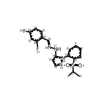 CC(C)S(=O)(=O)c1ccccc1-n1nccc1N/N=C/c1ccc(F)cc1F